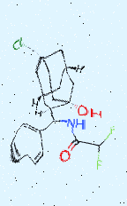 O=C(N[C@@H](c1ccccc1)[C@H]1[C@H]2C[C@@H]3C[C@](Cl)(C2)C[C@@]1(O)C3)C(F)F